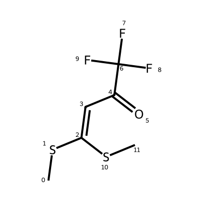 CSC(=CC(=O)C(F)(F)F)SC